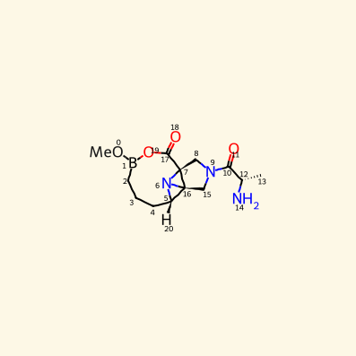 COB1CCC[C@@H]2N3[C@]4(CN(C(=O)[C@H](C)N)C[C@@]234)C(=O)O1